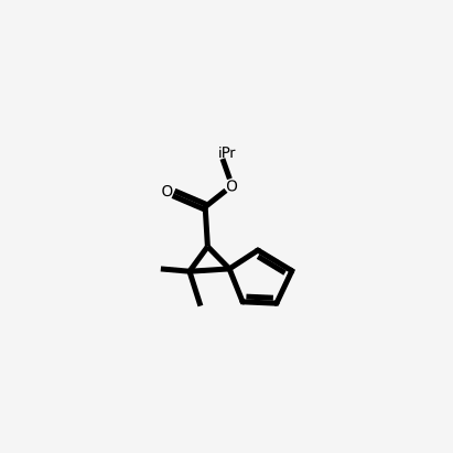 CC(C)OC(=O)C1C(C)(C)C12C=CC=C2